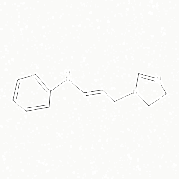 C(=CNc1ccccc1)CN1C=NCC1